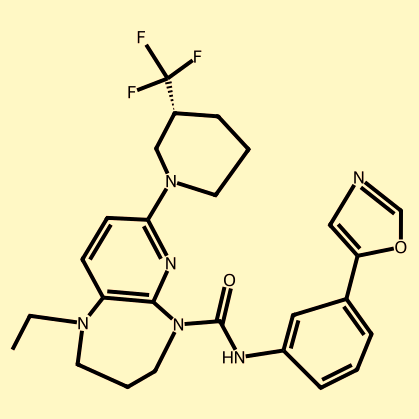 CCN1CCCN(C(=O)Nc2cccc(-c3cnco3)c2)c2nc(N3CCC[C@@H](C(F)(F)F)C3)ccc21